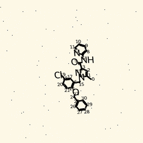 Cc1cc(C(=O)Nc2ccccn2)nn1Cc1cc(Cl)ccc1OCc1ccccc1